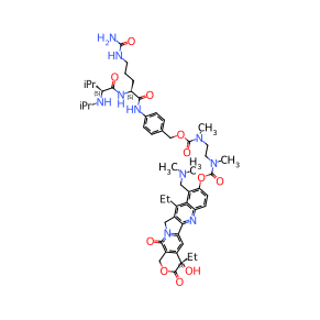 CCc1c2c(nc3ccc(OC(=O)N(C)CCN(C)C(=O)OCc4ccc(NC(=O)[C@H](CCCNC(N)=O)NC(=O)[C@@H](NC(C)C)C(C)C)cc4)c(CN(C)C)c13)-c1cc3c(c(=O)n1C2)COC(=O)[C@]3(O)CC